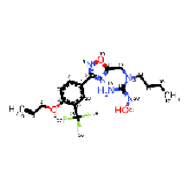 C=CCOc1ccc(-c2noc(CN(CCCC)/C(N)=N/O)n2)cc1C(F)(F)F